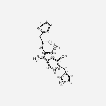 C/C(Cc1ccccn1)=N\c1c(C)c2cnn(Cc3cc[nH]n3)c(=O)c2n1C